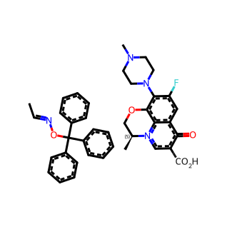 CC=NOC(c1ccccc1)(c1ccccc1)c1ccccc1.C[C@H]1COc2c(N3CCN(C)CC3)c(F)cc3c(=O)c(C(=O)O)cn1c23